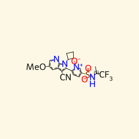 COc1cnc2c(c1)c(C#N)c(-c1ccc(S(=O)(=O)N[C@@H](C)C(F)(F)F)c[n+]1[O-])n2C1CCC1